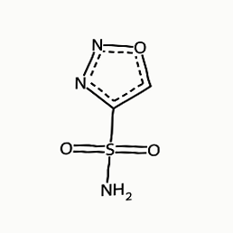 NS(=O)(=O)c1conn1